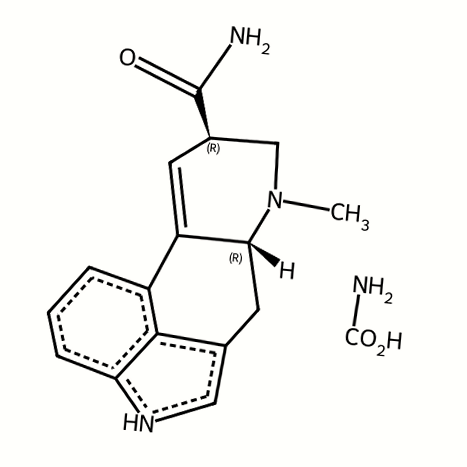 CN1C[C@H](C(N)=O)C=C2c3cccc4[nH]cc(c34)C[C@H]21.NC(=O)O